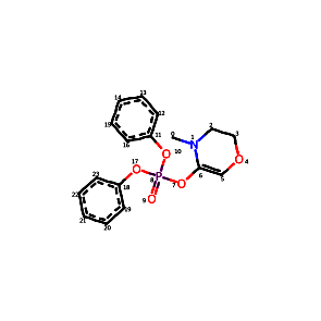 CN1CCOC=C1OP(=O)(Oc1ccccc1)Oc1ccccc1